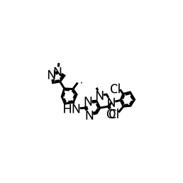 [CH2]c1cc(Nc2ncc3c(n2)N(C)CN(c2c(Cl)cccc2Cl)C3=O)ccc1-c1cnn(C)c1